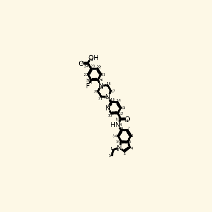 CCn1ccc2ccc(NC(=O)c3ccc(N4CCN(c5ccc(C(=O)O)cc5F)CC4)nc3)cc21